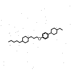 CCCCCC1CCC(CCCOc2ccc(C3CCC(CC)CC3)cc2)CC1